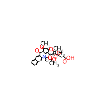 COc1cc2c(c3c1c(=O)c1cc4ccccc4cc1n3C)[C@@H](OC(C)=O)[C@@H](OC(=O)CCC(=O)O)C(C)(C)O2